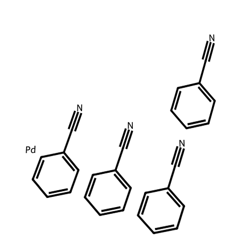 N#Cc1ccccc1.N#Cc1ccccc1.N#Cc1ccccc1.N#Cc1ccccc1.[Pd]